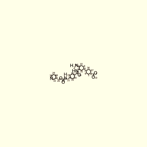 COC(=O)c1ccc(-c2ccc(N)c(NC(=O)c3ccc(CNC(=O)OCc4cccnc4)cc3)c2)cc1